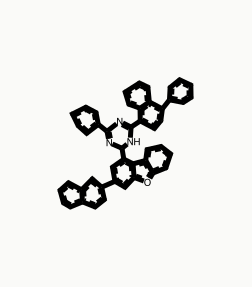 c1ccc(C2=NC(c3cc(-c4ccc5ccccc5c4)cc4oc5ccccc5c34)NC(c3ccc(-c4ccccc4)c4ccccc34)=N2)cc1